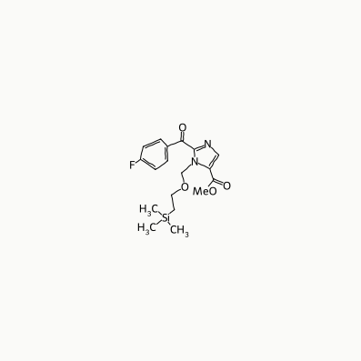 COC(=O)c1cnc(C(=O)c2ccc(F)cc2)n1COCC[Si](C)(C)C